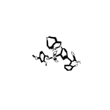 COc1ccc(CNS(=O)(=O)c2cc(C(C(N)=O)c3ccccc3Cl)ccc2-n2cc3ccncc3n2)c(OC)c1